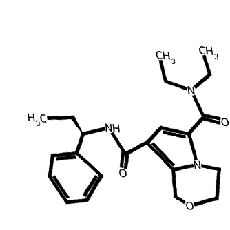 CC[C@@H](NC(=O)c1cc(C(=O)N(CC)CC)n2c1COCC2)c1ccccc1